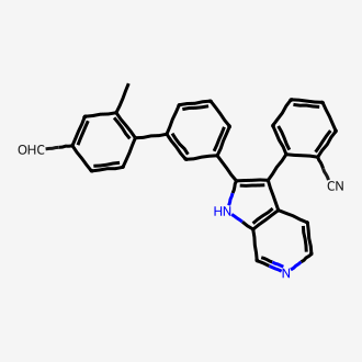 Cc1cc(C=O)ccc1-c1cccc(-c2[nH]c3cnccc3c2-c2ccccc2C#N)c1